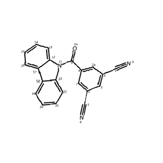 N#Cc1cc(C#N)cc(C(=O)n2c3ccccc3c3ccccc32)c1